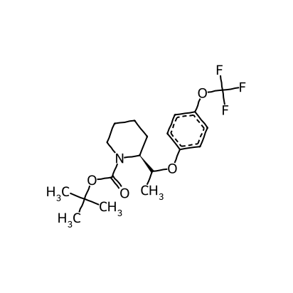 CC(Oc1ccc(OC(F)(F)F)cc1)[C@@H]1CCCCN1C(=O)OC(C)(C)C